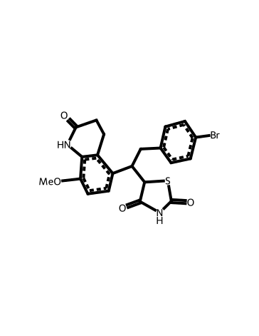 COc1ccc(C(Cc2ccc(Br)cc2)C2SC(=O)NC2=O)c2c1NC(=O)CC2